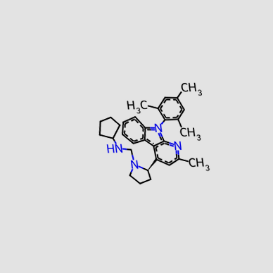 Cc1cc(C)c(-n2c3ccccc3c3c([C@H]4CCCN4CNC4CCCC4)cc(C)nc32)c(C)c1